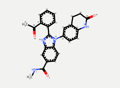 CNC(=O)c1ccc2c(c1)nc(-c1ccccc1C(C)=O)n2-c1ccc2c(c1)CCC(=O)N2